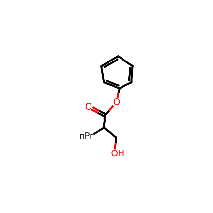 CCCC(CO)C(=O)Oc1ccccc1